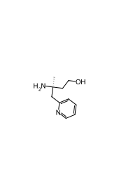 C[C@](N)(CCO)Cc1ccccn1